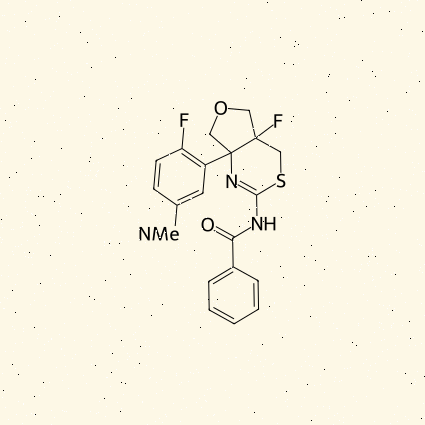 CNc1ccc(F)c(C23COCC2(F)CSC(NC(=O)c2ccccc2)=N3)c1